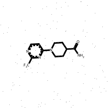 NC(=O)C1CCN(c2ccnc(C(F)(F)F)n2)CC1